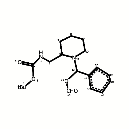 CC(C)(C)OC(=O)NCC1CCCCN1C(OC=O)c1ccccc1